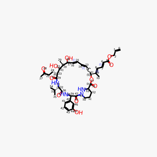 C=CCOC(=O)/C=C/C=C(\C)[C@@H]1C/C=C/C=C/[C@H](O)[C@H](C)[C@@H](O)[C@@H](CCC(C)=O)C(=O)N[C@@H](C(C)C)C(=O)NC(c2cccc(O)c2)C(=O)N2CCCC(N2)C(=O)O1